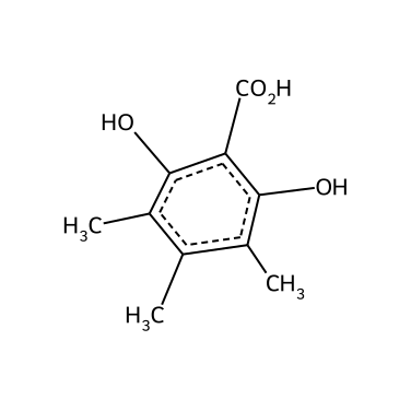 Cc1c(C)c(O)c(C(=O)O)c(O)c1C